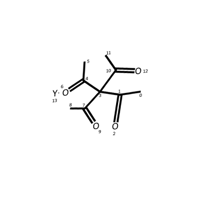 CC(=O)C(C(C)=O)(C(C)=O)C(C)=O.[Y]